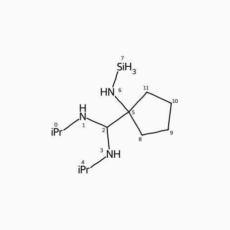 CC(C)NC(NC(C)C)C1(N[SiH3])CCCC1